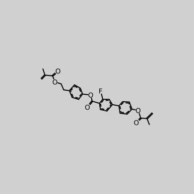 C=C(C)C(=O)OCCc1ccc(OC(=O)c2ccc(-c3ccc(OC(=O)C(=C)C)cc3)cc2F)cc1